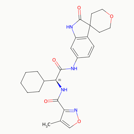 Cc1conc1C(=O)N[C@H](C(=O)Nc1ccc2c(c1)NC(=O)C21CCOCC1)C1CCCCC1